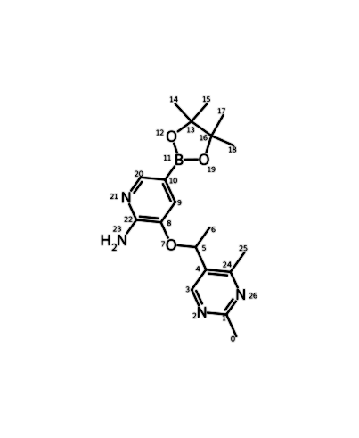 Cc1ncc(C(C)Oc2cc(B3OC(C)(C)C(C)(C)O3)cnc2N)c(C)n1